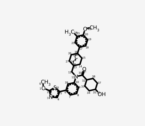 COc1ncc(-c2cccc(N(CC34CCC(c5ccc(OC)c(C)c5)(CC3)CC4)C(=O)C3CCC(O)CC3)c2)s1